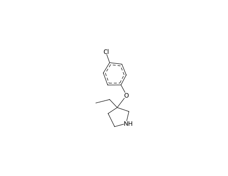 CCC1(Oc2ccc(Cl)cc2)CCNC1